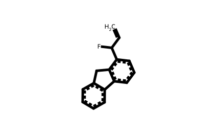 C=CC(F)c1cccc2c1Cc1ccccc1-2